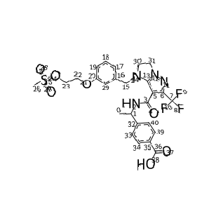 CC(NC(=O)c1c(C(F)(F)F)nn2c1N(Cc1cccc(OCCOS(C)(=O)=O)c1)CC2)c1ccc(C(=O)O)cc1